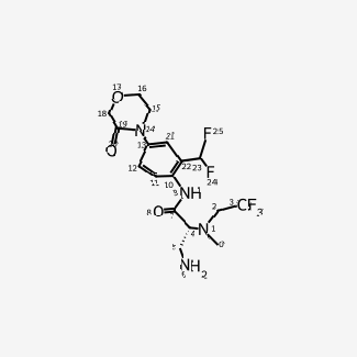 CN(CC(F)(F)F)[C@H](CN)C(=O)Nc1ccc(N2CCOCC2=O)cc1C(F)F